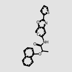 CC(Oc1cccc2ccccc12)C(=O)Nc1ccc2oc(-c3cccs3)nc2c1